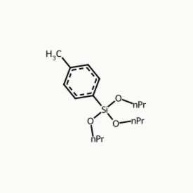 CCCO[Si](OCCC)(OCCC)c1ccc(C)cc1